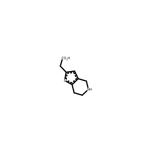 O=C(O)Cc1cc2c(s1)CCNC2